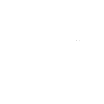 C/C(=C/C(C)[C]=O)c1ccccc1